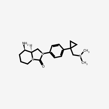 CN(C)CC1(c2ccc(N3C[C@@H]4[C@H](N)CCCN4C3=O)cc2)CC1